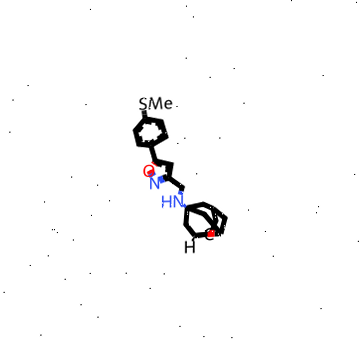 CSc1ccc(-c2cc(CN[C@@]34CC5CC[C@H](CC(C5)C3)C4)no2)cc1